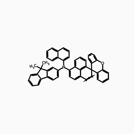 CC1(C)c2ccccc2-c2ccc(N(c3cccc4ccccc34)c3ccc4c5c(cccc35)C3(c5ccccc5Oc5ccccc53)c3ccccc3-4)cc21